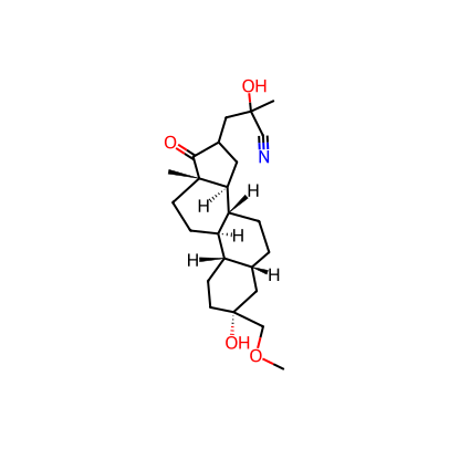 COC[C@@]1(O)CC[C@H]2[C@H](CC[C@@H]3[C@@H]2CC[C@]2(C)C(=O)C(CC(C)(O)C#N)C[C@@H]32)C1